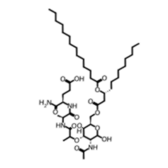 CCCCCCCCCCCCCC(=O)O[C@H](CCCCCCCCC)CC(=O)OC[C@H]1OC(O)[C@H](NC(C)=O)[C@H](OC(C)C(=O)N[C@@H](C)C(=O)N[C@H](CCC(=O)O)C(N)=O)[C@@H]1O